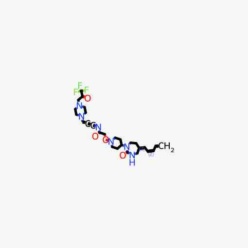 C=C/C=C\C=C1\CCN(C2CCN(OCC(=O)N=C=C=CN3CCN(CC(=O)C(F)(F)F)CC3)CC2)C(=O)NC1